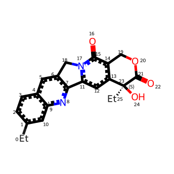 CCc1ccc2cc3c(nc2c1)-c1cc2c(c(=O)n1C3)COC(=O)[C@]2(O)CC